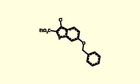 CCOC(=O)c1sc2cc(OCc3ccccc3)ccc2c1Cl